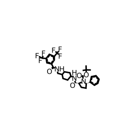 CC(C)(C)OC(=O)N1[C@@H](C(=O)NC2CCC(CNC(=O)c3cc(C(F)(F)F)cc(C(F)(F)F)c3)CC2)CC[C@H]1c1ccccc1